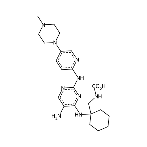 CN1CCN(c2ccc(Nc3ncc(N)c(NC4(CNC(=O)O)CCCCC4)n3)nc2)CC1